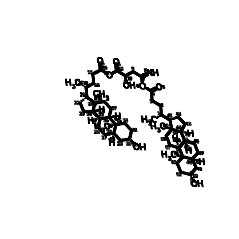 C[C@H](CCC(=O)OC(=N)CC(O)C(=O)OC(=O)CC[C@@H](C)[C@H]1CC[C@H]2[C@@H]3CC[C@@H]4C[C@H](O)CC[C@]4(C)[C@H]3CC[C@]12C)[C@H]1CC[C@H]2[C@@H]3CC[C@@H]4C[C@H](O)CC[C@]4(C)[C@H]3CC[C@]12C